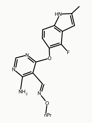 CCCON=Cc1c(N)ncnc1Oc1ccc2[nH]c(C)cc2c1F